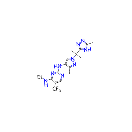 CCNc1nc(Nc2cn(C(C)(C)c3nnc(C)[nH]3)nc2C)ncc1C(F)(F)F